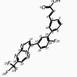 O=C(O)/C=C/c1cccc(-c2cc(-c3cnc4nc(C(F)(F)F)cnn34)ccc2F)c1